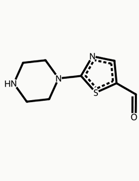 O=Cc1cnc(N2CCNCC2)s1